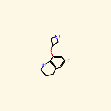 Cl.c1cc2c(c(OC3CNC3)c1)NCCC2